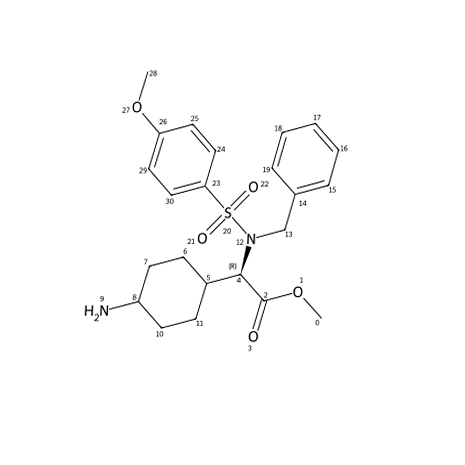 COC(=O)[C@@H](C1CCC(N)CC1)N(Cc1ccccc1)S(=O)(=O)c1ccc(OC)cc1